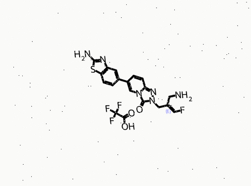 NC/C(=C\F)Cn1nc2ccc(-c3ccc4sc(N)nc4c3)cn2c1=O.O=C(O)C(F)(F)F